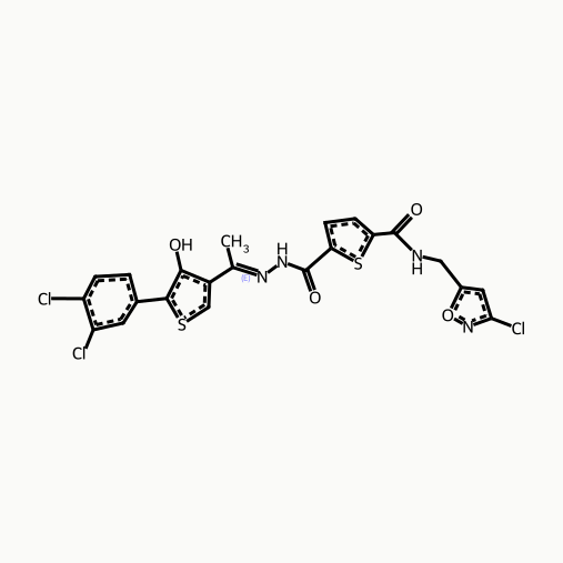 C/C(=N\NC(=O)c1ccc(C(=O)NCc2cc(Cl)no2)s1)c1csc(-c2ccc(Cl)c(Cl)c2)c1O